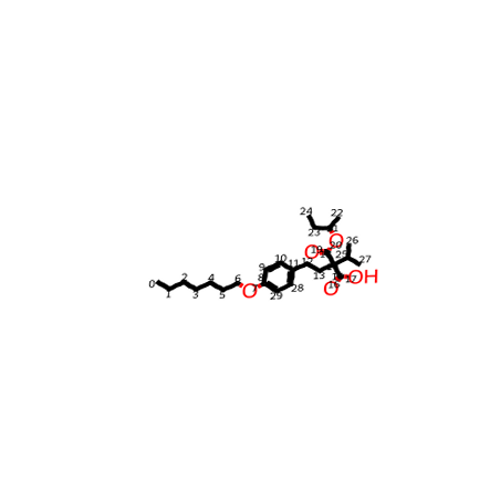 CCCCCCCOc1ccc(CCC(C(=O)O)(C(=O)OC(C)CC)C(C)C)cc1